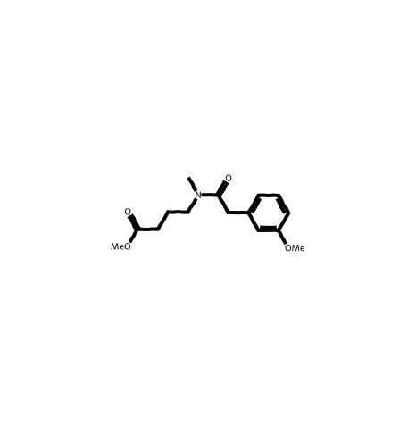 COC(=O)CCCN(C)C(=O)Cc1cccc(OC)c1